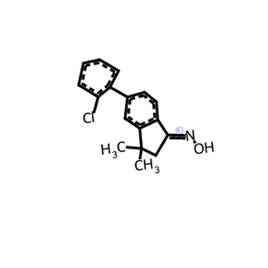 CC1(C)C/C(=N\O)c2ccc(-c3ccccc3Cl)cc21